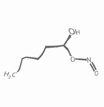 CCCCC(O)ON=O